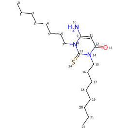 CCCCCCCCn1c(N)cc(=O)n(CCCCCCCC)c1=S